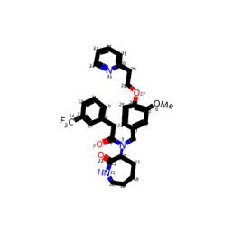 COc1cc(CN(C(=O)Cc2cccc(C(F)(F)F)c2)[C@H]2CCCCNC2=O)ccc1OCCc1ccccn1